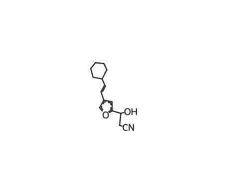 N#CCC(O)c1cc(/C=C/C2CCCCC2)co1